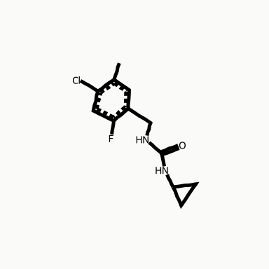 Cc1cc(CNC(=O)NC2CC2)c(F)cc1Cl